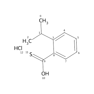 CC(C)c1ccccc1C(O)=S.Cl